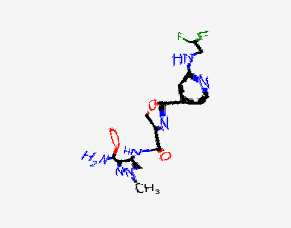 Cn1cc(NC(=O)C2COC(c3ccnc(NCC(F)F)c3)=N2)c(C(N)=O)n1